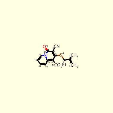 C=C(C)CSc1c(C#N)c(=O)n2ccccc2c1C(=O)OCC